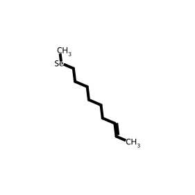 CC=CCCCCCC[Se]C